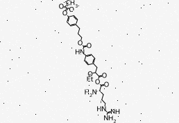 CCOC(Cc1ccc(NC(=O)OCCCc2ccc(OS(C)(=O)=O)cc2)cc1)C(=O)OC(=O)[C@@H](N)CCCNC(=N)N